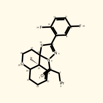 CC(C)CC(=O)N1N=C(c2cc(F)ccc2F)SC12CCOC1CCC=C[C@@]12C